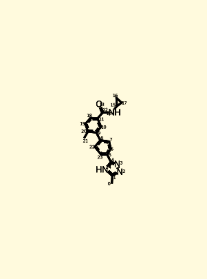 Cc1nnc(-c2ccc(-c3cc(C(=O)NC4CC4)ccc3C)cc2)[nH]1